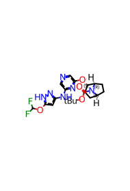 CC(C)(C)OC(=O)N1[C@@H]2CC[C@H](Oc3cncc(Nc4cc(OC(F)F)[nH]n4)n3)[C@H]1CC2